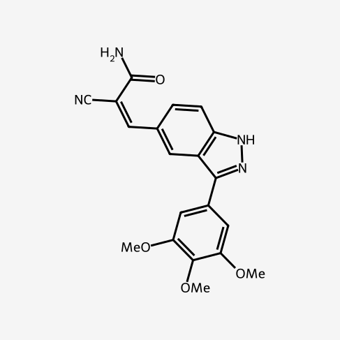 COc1cc(-c2n[nH]c3ccc(C=C(C#N)C(N)=O)cc23)cc(OC)c1OC